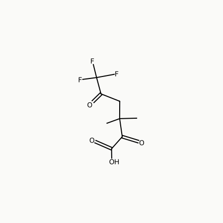 CC(C)(CC(=O)C(F)(F)F)C(=O)C(=O)O